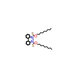 CCCCCCCCCOC(=S)N1CN(C(=S)OCCCCCCCCC)c2ccccc2-c2ccccc21